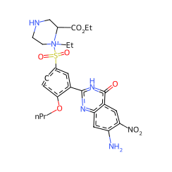 CCCOc1ccc(S(=O)(=O)[N+]2(CC)CCNCC2C(=O)OCC)cc1-c1nc2cc(N)c([N+](=O)[O-])cc2c(=O)[nH]1